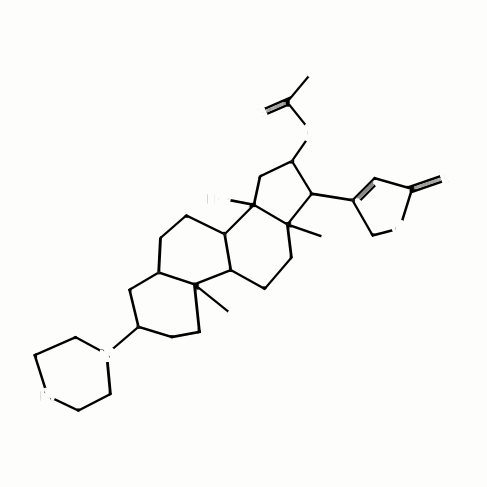 CC(=O)OC1CC2(O)C3CCC4CC(N5CCNCC5)CCC4(C)C3CCC2(C)C1C1=CC(=O)OC1